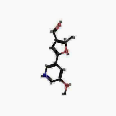 COc1cncc(-c2cc(C=O)c(C)o2)c1